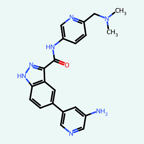 CN(C)Cc1ccc(NC(=O)c2n[nH]c3ccc(-c4cncc(N)c4)cc23)cn1